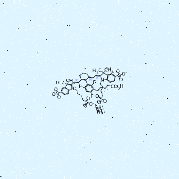 CC1(C)C(/C=C/C2=C(c3c(F)cc(F)c(CCCCC(=O)O)c3F)C(=C/C=C3\N(CCCCS(=O)(=O)[O-])c4ccc(S(=O)(=O)[O-])cc4C3(C)C)/CCC2)=[N+](CCCCS(=O)(=O)[O-])c2ccc(S(=O)(=O)[O-])cc21.[Na+].[Na+].[Na+]